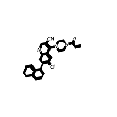 C=CC(=O)N1CCN(c2c(C#N)cnc3cc(-c4cccc5ccccc45)c(Cl)cc23)CC1